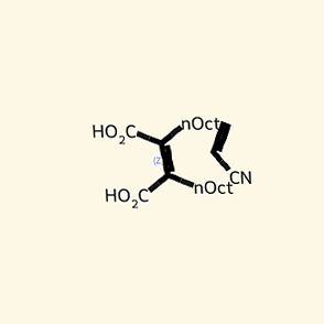 C=CC#N.CCCCCCCC/C(C(=O)O)=C(\CCCCCCCC)C(=O)O